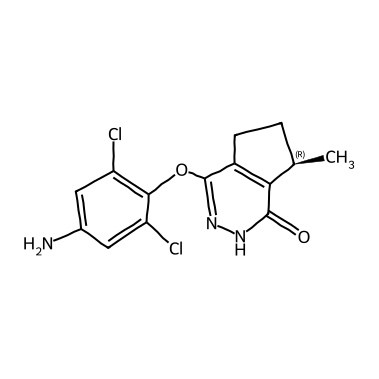 C[C@@H]1CCc2c(Oc3c(Cl)cc(N)cc3Cl)n[nH]c(=O)c21